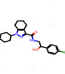 O=C(NCC(O)c1ccc(Br)cc1)c1nn(C2CCCCC2)c2c1CCCC2